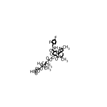 CC1=NO[C@@]2(CC[C@H](C)N3C[C@H]2n2cc(C(=O)NCc4ccc(F)cc4F)c(=O)c(OCOC(=O)OCC(C)(C)N(C)C(=O)OCOP(=O)(O)O)c2C3=O)C1